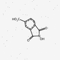 O=C(O)c1ccc2c(c1)C(=O)N(O)C2=O